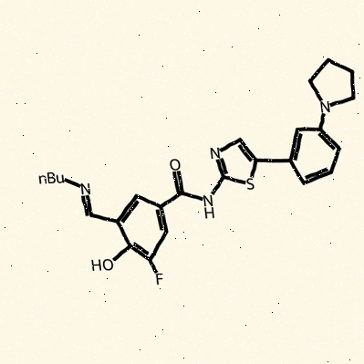 CCCCN=Cc1cc(C(=O)Nc2ncc(-c3cccc(N4CCCC4)c3)s2)cc(F)c1O